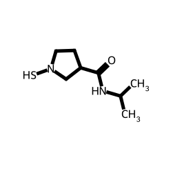 CC(C)NC(=O)C1CCN(S)C1